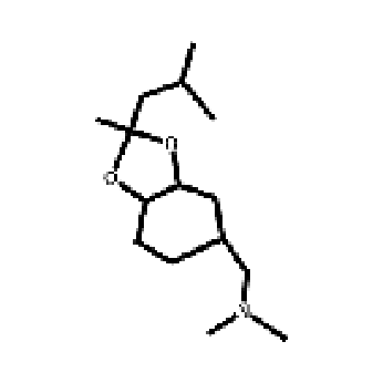 CC(C)CC1(C)OC2CCC(CN(C)C)CC2O1